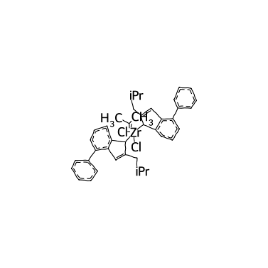 C[C](C)=[Zr]([Cl])([Cl])([CH]1C(CC(C)C)=Cc2c(-c3ccccc3)cccc21)[CH]1C(CC(C)C)=Cc2c(-c3ccccc3)cccc21